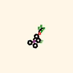 FC(F)C(F)(F)COc1ccc(C[P+](c2ccccc2)(c2ccccc2)c2ccccc2)cc1.[Cl-]